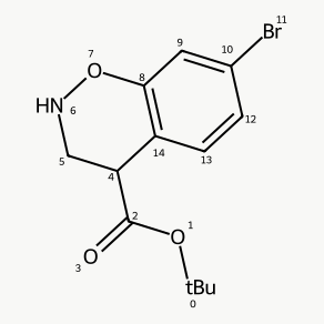 CC(C)(C)OC(=O)C1CNOc2cc(Br)ccc21